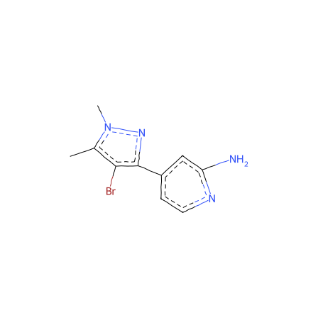 Cc1c(Br)c(-c2ccnc(N)c2)nn1C